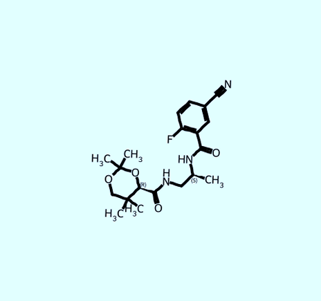 C[C@@H](CNC(=O)[C@@H]1OC(C)(C)OCC1(C)C)NC(=O)c1cc(C#N)ccc1F